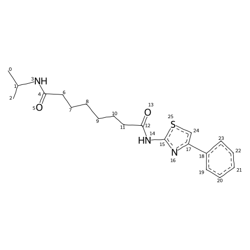 CC(C)NC(=O)CCCCCCC(=O)Nc1nc(-c2ccccc2)cs1